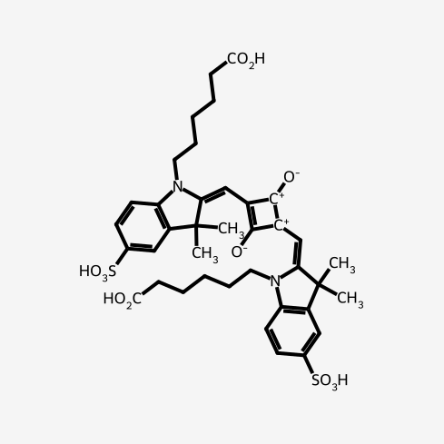 CC1(C)C(=Cc2c([O-])[c+](C=C3N(CCCCCC(=O)O)c4ccc(S(=O)(=O)O)cc4C3(C)C)[c+]2[O-])N(CCCCCC(=O)O)c2ccc(S(=O)(=O)O)cc21